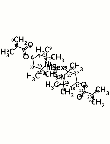 C=C(C)C(=O)OC1CC(C)(C)N(SSN2C(C)(C)CC(OC(=O)C(=C)C)CC2(C)CCCCCC)C(C)(C)C1